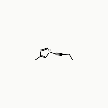 CCC#C[SH]1C=NC(C)=C1